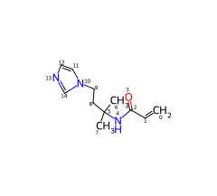 C=CC(=O)NC(C)(C)CCn1ccnc1